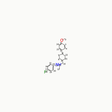 COc1ccc(C2CCC(CC(C)Nc3ccc(F)cc3)CC2)cc1